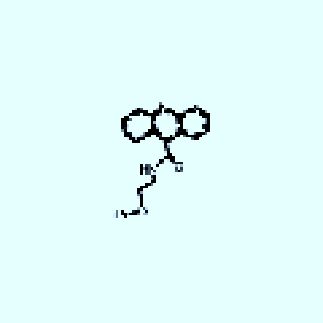 CC(C)OCCNC(=O)c1c2ccccc2nc2ccccc12